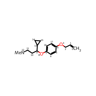 C=CCOc1ccc(OC(CCNC)C2CC2)cc1